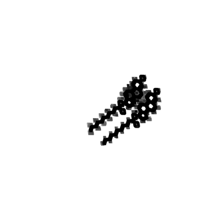 CCCCCCCCCCC(=O)O[C@H]1CCC2C3CCC4=CC(=O)CC[C@]4(C)C3CC[C@@]21C.CCCCCCCCCCC(=O)O[C@H]1CC[C@H]2[C@@H]3CCC4=CC(=O)CC[C@]4(C)[C@H]3CC[C@]12C